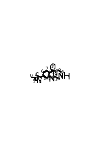 Cc1cnc(-c2ccc3c(=O)n4c(nc3c2)CNCC4)s1